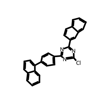 Clc1nc(-c2ccc(-c3cccc4ccccc34)cc2)nc(-c2ccc3ccccc3c2)n1